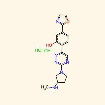 CNC1CCN(c2ncc(-c3ccc(-c4ncco4)cc3O)nn2)C1.Cl.Cl